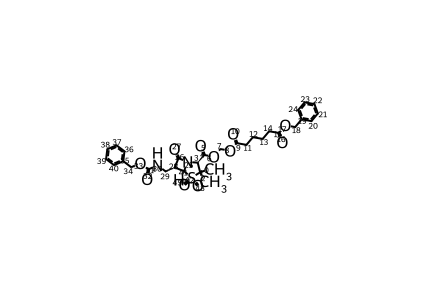 CC1(C)[C@H](C(=O)OCOC(=O)CCCCC(=O)OCc2ccccc2)N2C(=O)[C@H](CNC(=O)OCc3ccccc3)[C@H]2S1(=O)=O